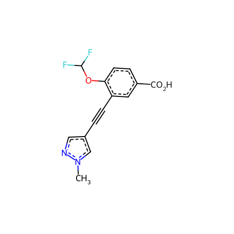 Cn1cc(C#Cc2cc(C(=O)O)ccc2OC(F)F)cn1